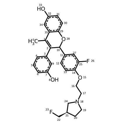 CC1=C(c2cccc(O)c2)C(c2ccc(OCCN3CC[C@@H](CF)C3)c(F)c2)Oc2ccc(O)cc21